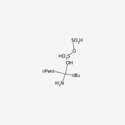 CCCCCC(N)(O)CCCC.O=S(=O)(O)OS(=O)(=O)O